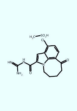 CS(=O)(=O)O.N=C(N)NC(=O)c1cc2c(Cl)ccc3c2n1CCCCC3=O